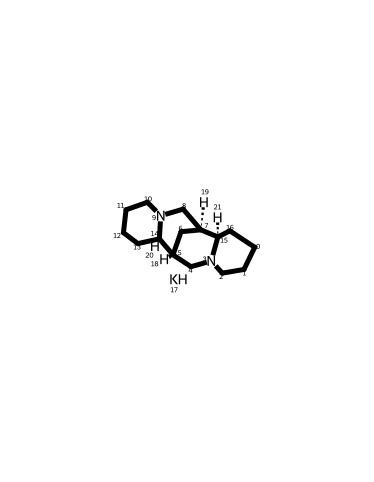 C1CCN2C[C@H]3C[C@@H](CN4CCCC[C@@H]34)[C@H]2C1.[KH]